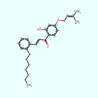 CCCCCCCc1ccccc1/C=C/C(=O)c1ccc(OCC=C(C)C)cc1O